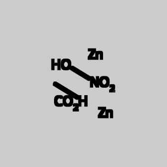 CC(=O)O.O=[N+]([O-])O.[Zn].[Zn]